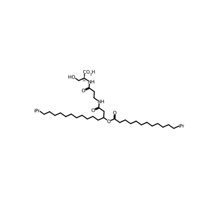 CC(C)CCCCCCCCCCCC(=O)OC(CCCCCCCCCCCC(C)C)CC(=O)NCCC(=O)N[C@@H](CO)C(=O)O